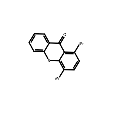 CC(C)c1ccc(C(C)C)c2c(=O)c3ccccc3sc12